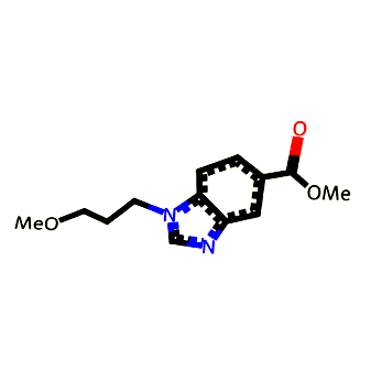 COCCCn1cnc2cc(C(=O)OC)ccc21